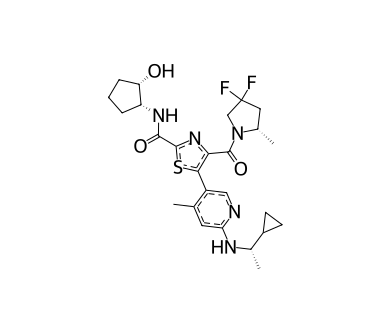 Cc1cc(N[C@@H](C)C2CC2)ncc1-c1sc(C(=O)N[C@@H]2CCC[C@@H]2O)nc1C(=O)N1CC(F)(F)C[C@@H]1C